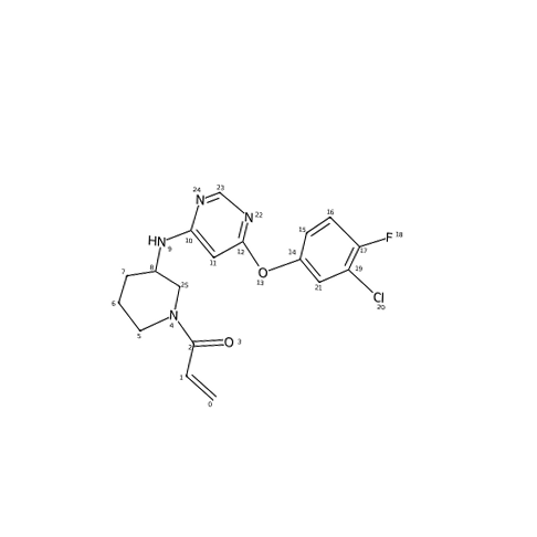 C=CC(=O)N1CCCC(Nc2cc(Oc3ccc(F)c(Cl)c3)ncn2)C1